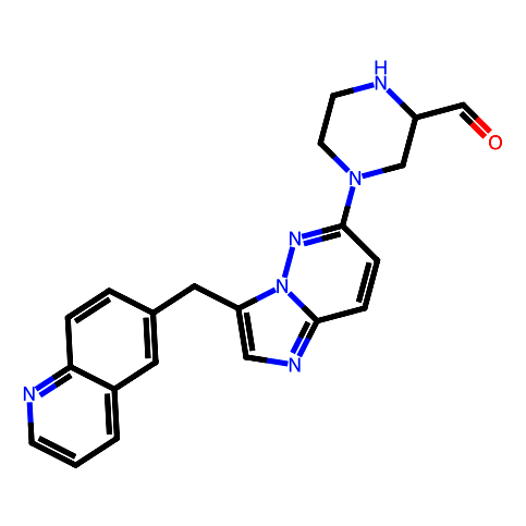 O=CC1CN(c2ccc3ncc(Cc4ccc5ncccc5c4)n3n2)CCN1